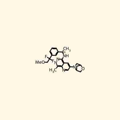 COCC(F)(F)c1cccc([C@@H](C)Nc2nnc(C)c3ncc(N4CC5CC4CO5)cc23)c1